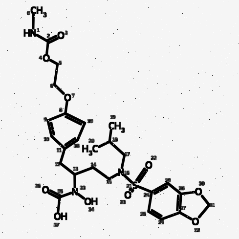 CNC(=O)OCCOc1ccc(CC(CCN(CC(C)C)S(=O)(=O)c2ccc3c(c2)OCO3)N(O)C(=O)O)cc1